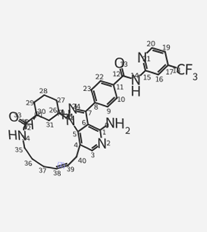 Nc1ncc2c3c1c(-c1ccc(C(=O)Nc4cc(C(F)(F)F)ccn4)cc1)nn3[C@@H]1CCC[C@H](C1)C(=O)NCCC/C=C\C2